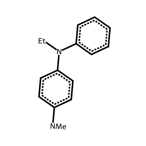 CCN(c1ccccc1)c1ccc(NC)cc1